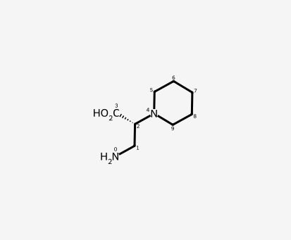 NC[C@H](C(=O)O)N1CCCCC1